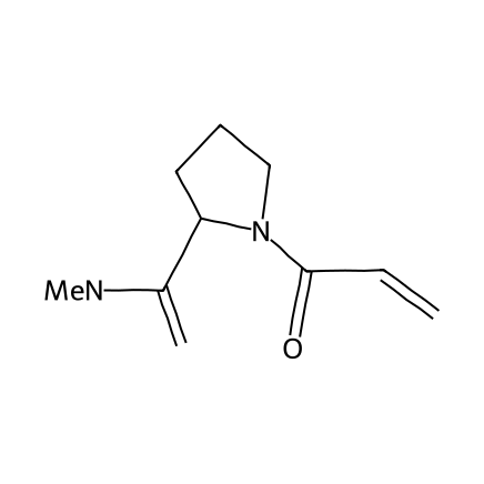 C=CC(=O)N1CCCC1C(=C)NC